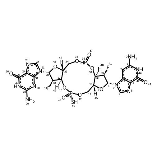 Nc1cc2c(ncn2[C@@H]2O[C@@H]3CO[P@@](=O)(S)O[C@H]4[C@@H](F)[C@H](n5cnc6c(=O)[nH]c(N)nc65)O[C@@H]4CO[PH](=O)O[C@H]3[C@H]2F)c(=O)[nH]1